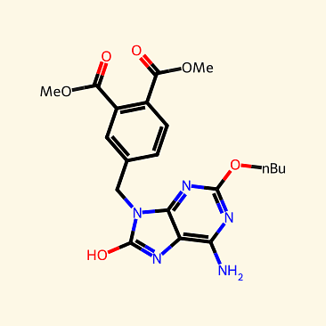 CCCCOc1nc(N)c2nc(O)n(Cc3ccc(C(=O)OC)c(C(=O)OC)c3)c2n1